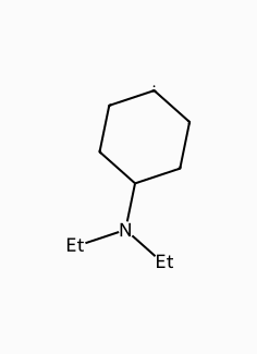 CCN(CC)C1CC[CH]CC1